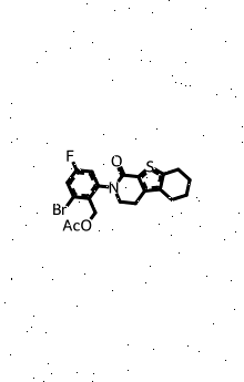 CC(=O)OCc1c(Br)cc(F)cc1N1CCc2c(sc3c2CCCC3)C1=O